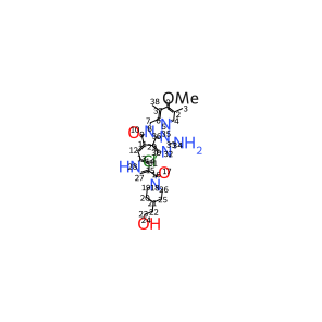 COc1c(C)cnc(CN2C(=O)/C(=C/c3cc(C(=O)N4CCC(CCO)CC4)c[nH]3)c3c(Cl)nc(N)nc32)c1C